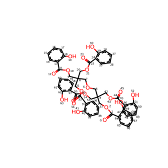 O=C(OCC(COCC(COC(=O)c1ccccc1O)(COC(=O)c1ccccc1O)COC(=O)c1ccccc1O)(COC(=O)c1ccccc1O)COC(=O)c1ccccc1O)c1ccccc1O